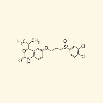 CC(C)C1OC(=O)Nc2ccc(OCCC[S+]([O-])c3ccc(Cl)c(Cl)c3)cc21